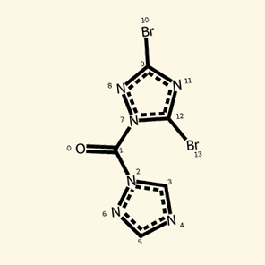 O=C(n1cncn1)n1nc(Br)nc1Br